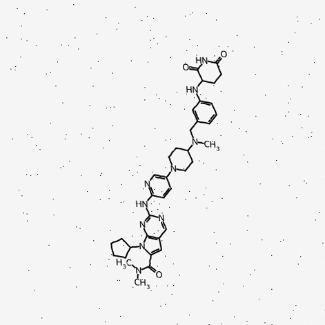 CN(C)C(=O)c1cc2cnc(Nc3ccc(N4CCC(N(C)Cc5cccc(NC6CCC(=O)NC6=O)c5)CC4)cn3)nc2n1C1CCCC1